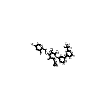 Cc1c(OCc2ncc(F)cc2F)c(Cl)c(=O)n(-c2ccnc(-c3ccnc(C(C)(C)O)n3)c2)c1C1CC1